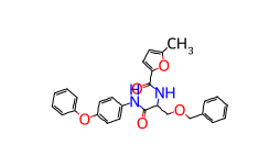 Cc1ccc(C(=O)NC(COCc2ccccc2)C(=O)Nc2ccc(Oc3ccccc3)cc2)o1